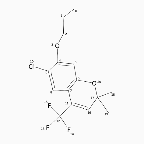 CCCOc1cc2c(cc1Cl)C(C(F)(F)F)=CC(C)(C)O2